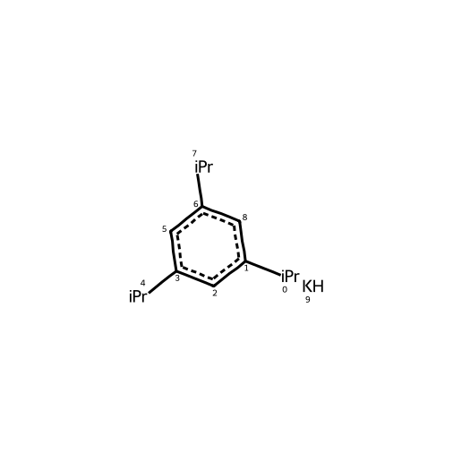 CC(C)c1cc(C(C)C)cc(C(C)C)c1.[KH]